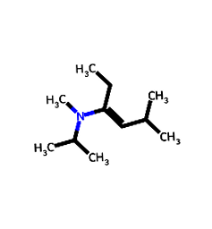 CC/C(=C\C(C)C)N(C)C(C)C